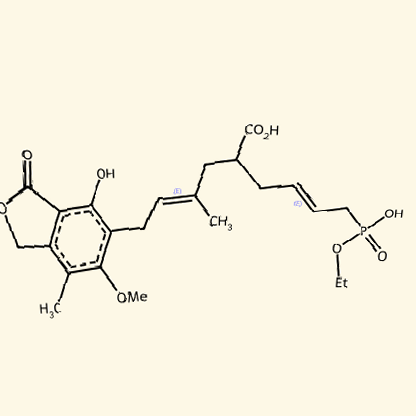 CCOP(=O)(O)C/C=C/CC(C/C(C)=C/Cc1c(O)c2c(c(C)c1OC)COC2=O)C(=O)O